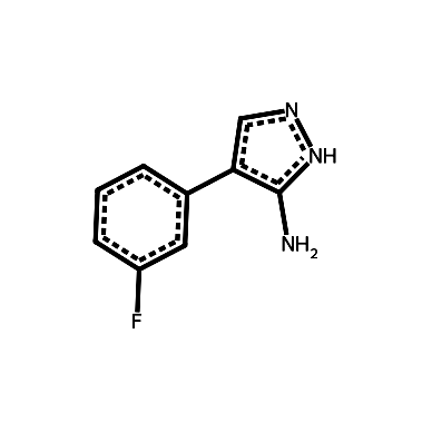 Nc1[nH]ncc1-c1cccc(F)c1